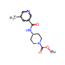 Cc1cncc(C(=O)NC2CCN(C(=O)OC(C)(C)C)CC2)c1